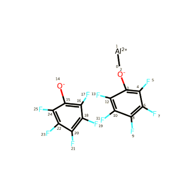 [CH3][Al+2].[O-]c1c(F)c(F)c(F)c(F)c1F.[O-]c1c(F)c(F)c(F)c(F)c1F